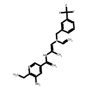 C=CN(/C=C(\C)NC(=C)c1cnc(CC)c(N)c1)Cc1cccc(C(F)(F)F)c1